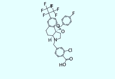 O=C(O)c1ccc(CN2CC[C@]3(S(=O)(=O)c4ccc(F)cc4)c4ccc(C(F)(C(F)(F)F)C(F)(F)F)cc4CC[C@H]23)cc1Cl